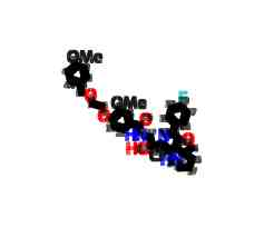 COc1ccc(COCCOc2ccc(C(=O)NCC(O)(c3cc4c(c(-c5ccc(F)cc5)n3)OCC43CCCN3)C(F)(F)F)cc2OC)cc1